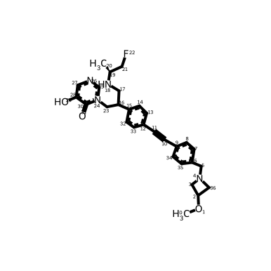 COC1CN(Cc2ccc(C#Cc3ccc(C(CN[C@@H](C)CF)Cn4cncc(O)c4=O)cc3)cc2)C1